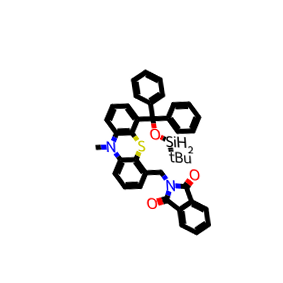 CN1c2cccc(CN3C(=O)c4ccccc4C3=O)c2Sc2c1cccc2C(O[SiH2]C(C)(C)C)(c1ccccc1)c1ccccc1